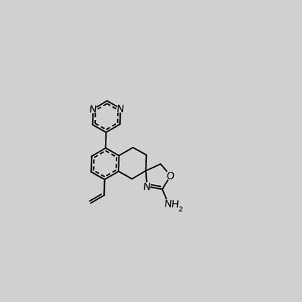 C=Cc1ccc(-c2cncnc2)c2c1CC1(CC2)COC(N)=N1